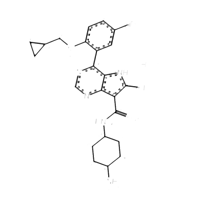 Cc1[nH]c2c(-c3cc(C(C)C)ccc3OCC3CC3)ncnc2c1C(=O)NC1CCC(N)CC1.Cl